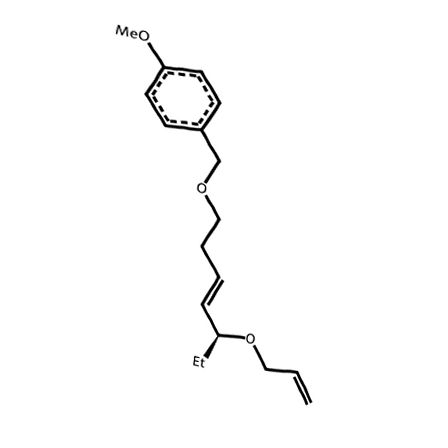 C=CCO[C@H](/C=C/CCOCc1ccc(OC)cc1)CC